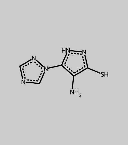 Nc1c(S)n[nH]c1-n1cncn1